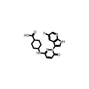 O=C(O)C1CCC(Nc2ccc(=O)n(-c3c[nH]c4ncc(F)cc34)n2)CC1